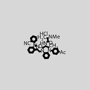 CN[C@@H](C)C(=O)N[C@@H]1C(=O)N(Cc2nn(-c3ccccc3C#N)c3ccccc23)c2ccccc2N(c2ccc(C(C)=O)cc2)[C@H]1C.Cl